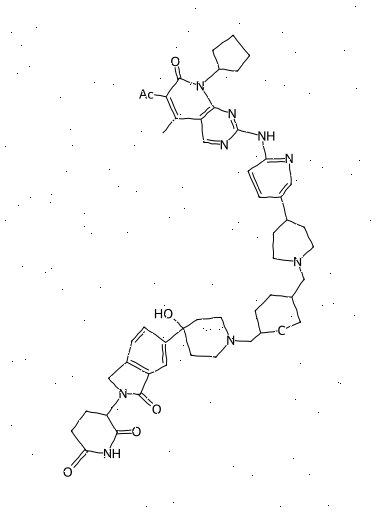 CC(=O)c1c(C)c2cnc(Nc3ccc(C4CCN(CC5CCC(CN6CCC(O)(c7ccc8c(c7)C(=O)N(C7CCC(=O)NC7=O)C8)CC6)CC5)CC4)cn3)nc2n(C2CCCC2)c1=O